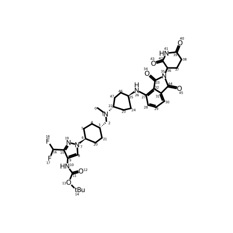 CN(C[C@H]1CC[C@H](n2cc(NC(=O)OC(C)(C)C)c(C(F)F)n2)CC1)[C@H]1CC[C@H](Nc2cccc3c2C(=O)N(C2CCC(=O)NC2=O)C3=O)CC1